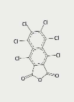 O=C1OC(=O)c2c1c(Cl)c1c(Cl)c(Cl)c(Cl)c(Cl)c1c2Cl